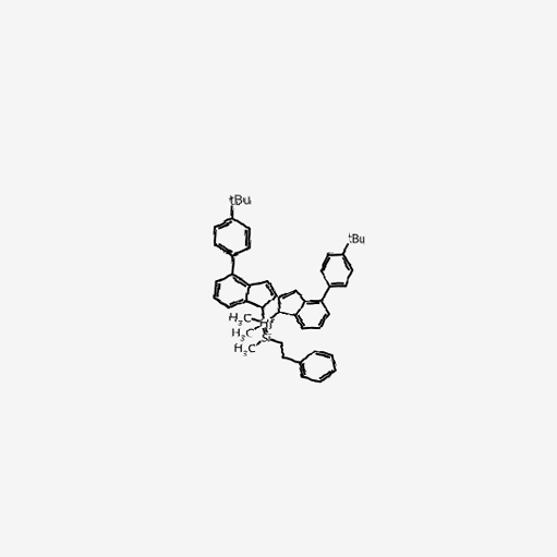 C[Si](CCc1ccccc1)=[Hf]([CH3])([CH3])([CH]1C=Cc2c(-c3ccc(C(C)(C)C)cc3)cccc21)[CH]1C=Cc2c(-c3ccc(C(C)(C)C)cc3)cccc21